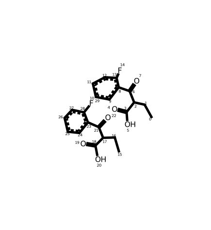 CCC(C(=O)O)C(=O)c1ccccc1F.CCC(C(=O)O)C(=O)c1ccccc1F